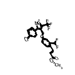 COC(=O)/C=C/c1ccc(OCc2c(-c3ccc(Cl)cc3)nsc2C(F)(F)F)cc1C(F)F